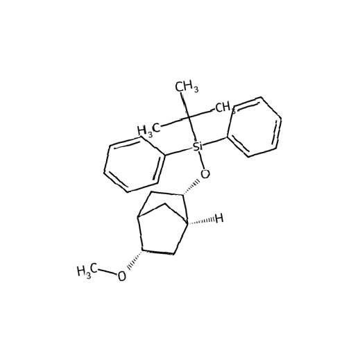 CO[C@H]1C[C@H]2CC1C[C@@H]2O[Si](c1ccccc1)(c1ccccc1)C(C)(C)C